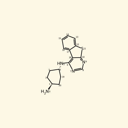 N[C@H]1CC[C@H](Nc2ncnc3sc4ccccc4c23)CC1